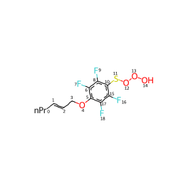 CCC/C=C/COc1c(F)c(F)c(SOOO)c(F)c1F